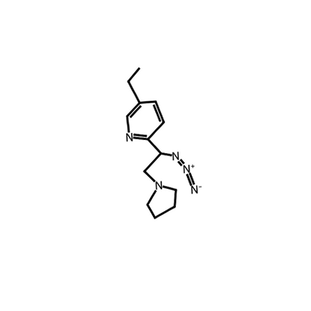 CCc1ccc(C(CN2CCCC2)N=[N+]=[N-])nc1